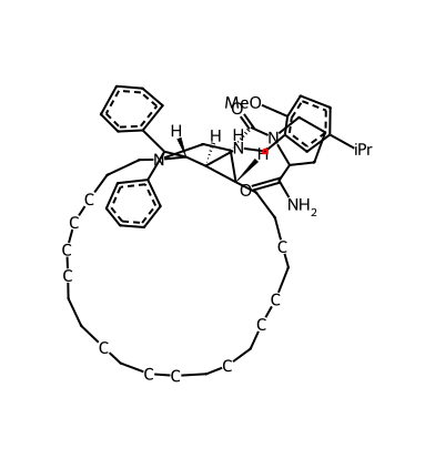 COc1ccc(C(C)C)cc1CN[C@H]1[C@H]2CCCCCCCCCCCCCCCCCCCCCN(C[C@@H]2C(=O)N2CCCC2C(N)=O)[C@H]1C(c1ccccc1)c1ccccc1